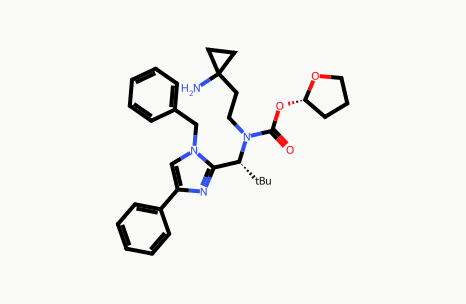 CC(C)(C)[C@H](c1nc(-c2ccccc2)cn1Cc1ccccc1)N(CCC1(N)CC1)C(=O)O[C@H]1CCCO1